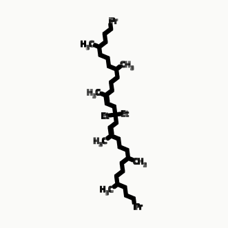 CCC(CC)(CC=C(C)CCCC(C)CCCC(C)CCCC(C)C)CC=C(C)CCCC(C)CCCC(C)CCCC(C)C